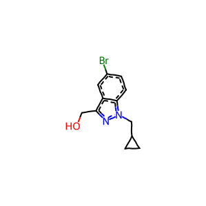 OCc1nn(CC2CC2)c2ccc(Br)cc12